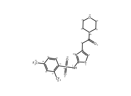 O=C(Cc1csc(NS(=O)(=O)c2ccc(C(F)(F)F)cc2C(F)(F)F)n1)N1CCOCC1